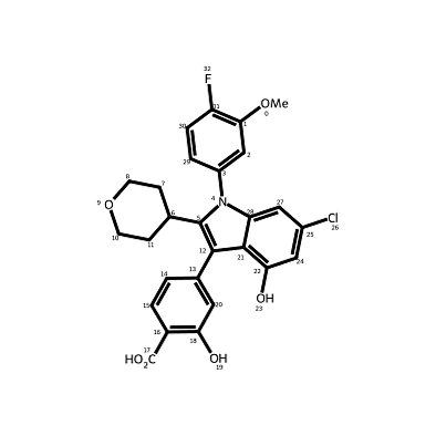 COc1cc(-n2c(C3CCOCC3)c(-c3ccc(C(=O)O)c(O)c3)c3c(O)cc(Cl)cc32)ccc1F